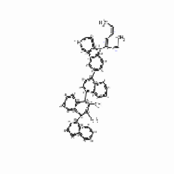 C\C=C/C=C(\C=C/C)n1c2ccncc2c2cc(-c3ccc(-c4c(C)c(C)c(-c5cccc6ccccc56)c5ccccc45)c4ccccc34)ccc21